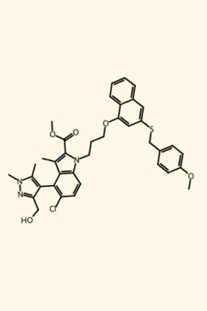 COC(=O)c1c(C)c2c(-c3c(CO)nn(C)c3C)c(Cl)ccc2n1CCCOc1cc(SCc2ccc(OC)cc2)cc2ccccc12